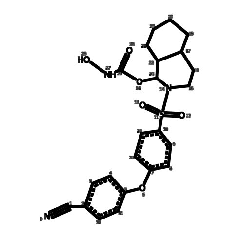 N#Cc1ccc(Oc2ccc(S(=O)(=O)N3CCC4CCCCC4C3OC(=O)NO)cc2)cc1